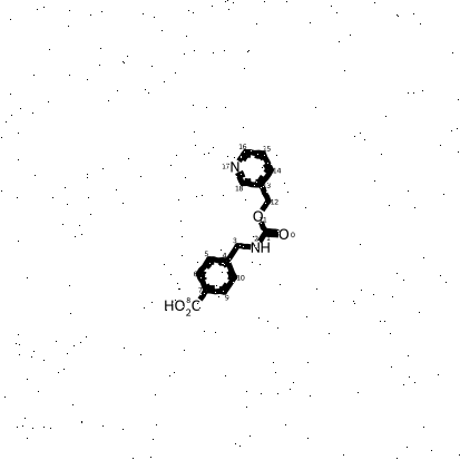 O=C(NCc1ccc(C(=O)O)cc1)OCc1cccnc1